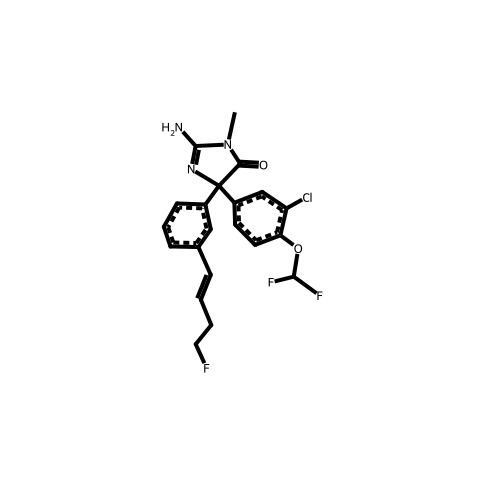 CN1C(=O)C(c2cccc(C=CCCF)c2)(c2ccc(OC(F)F)c(Cl)c2)N=C1N